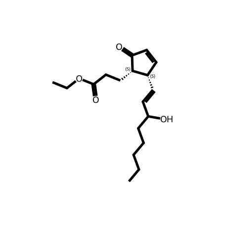 CCCCCC(O)C=C[C@H]1C=CC(=O)[C@H]1CCC(=O)OCC